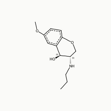 CCCN[C@H]1COc2ccc(OC)cc2[C@@H]1O